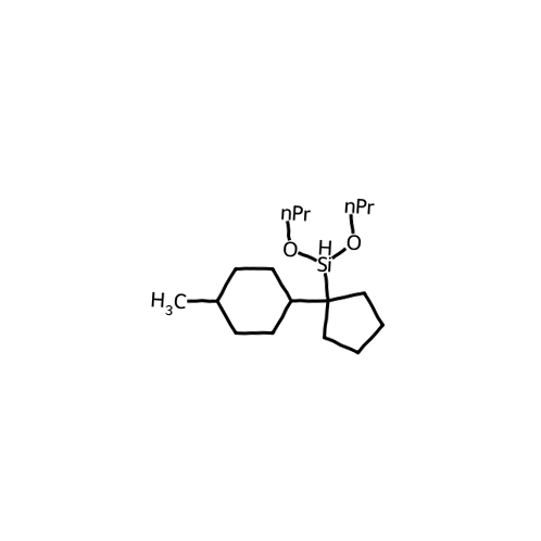 CCCO[SiH](OCCC)C1(C2CCC(C)CC2)CCCC1